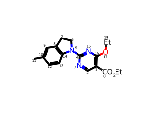 CCOC(=O)c1cnc(N2CCc3cc(C)ccc32)nc1OCC